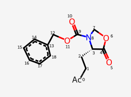 CC(=O)CC[C@H]1C(=O)OCN1C(=O)OCc1ccccc1